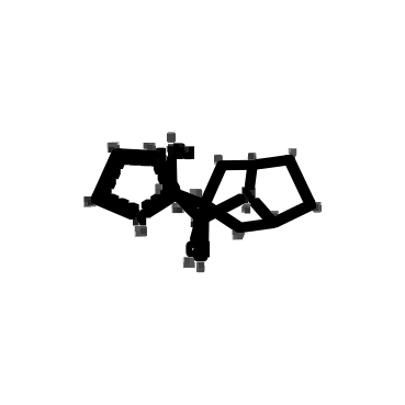 CC(C)(C)OC(=O)N1C2CCC1CC(C#N)(c1nccs1)C2